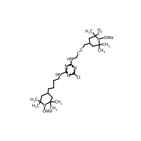 CON1C(C)(C)CC(CCCCNc2nc(Cl)nc(NCCCCC3CC(C)(C)N(OC)C(C)(C)C3)n2)CC1(C)C